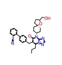 CCCc1c(Cc2ccc(-c3ccccc3C#N)cc2)c(=O)n([C@H]2CC[C@@]3(CCC(CO)O3)CC2)c2ncnn12